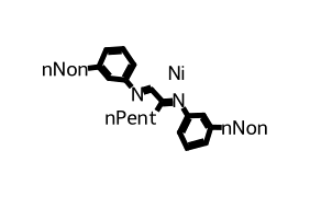 CCCCCCCCCc1cccc(/N=C/C(CCCCC)=N/c2cccc(CCCCCCCCC)c2)c1.[Ni]